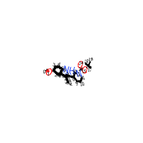 COc1ccc2[nH]c(C3CCCN(C(=O)OC(C)(C)C)C3)c(C)c2c1